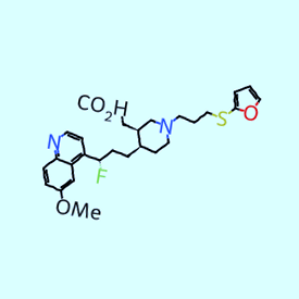 COc1ccc2nccc([C@@H](F)CC[C@@H]3CCN(CCCSc4ccco4)C[C@@H]3CC(=O)O)c2c1